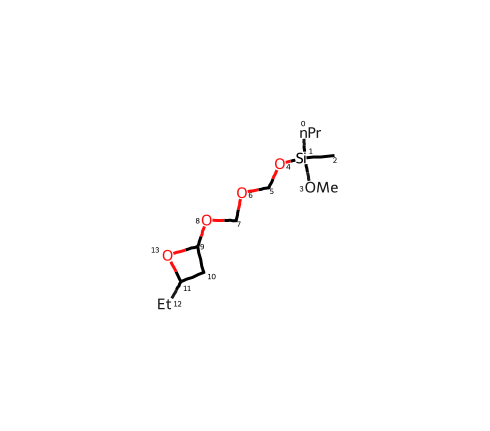 CCC[Si](C)(OC)OCOCOC1CC(CC)O1